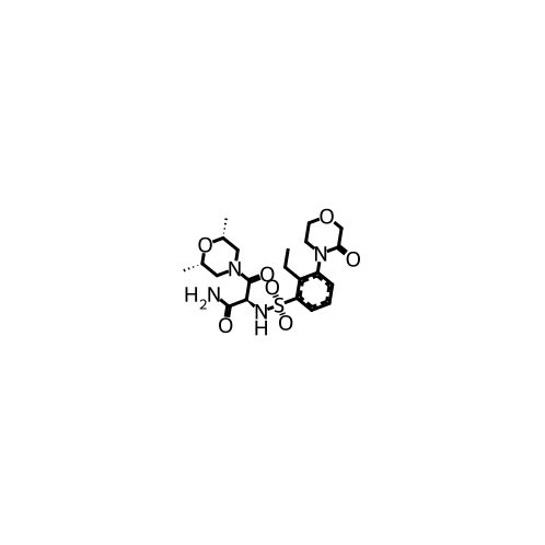 CCc1c(N2CCOCC2=O)cccc1S(=O)(=O)N[C@@H](C(N)=O)C(=O)N1C[C@@H](C)O[C@@H](C)C1